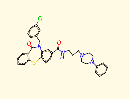 O=C(NCCCN1CCN(c2ccccc2)CC1)c1ccc2c(c1)N(Cc1cccc(Cl)c1)C(=O)c1ccccc1S2